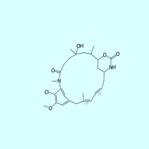 COc1cc2cc(c1Cl)N(C)C(=O)CCC(C)(O)CC(C)C1CC(C/C=C/C=C(\C)C2)NC(=O)O1